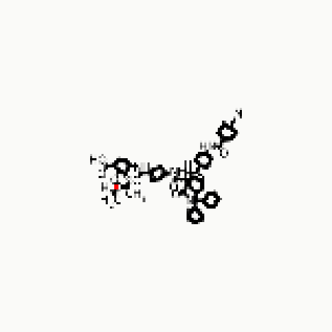 C=CCOc1c(C(=O)O)ccc(NC(=O)c2ccc(NC(=O)[C@H](CC(=O)NC(c3ccccc3)(c3ccccc3)c3ccccc3)NC(=O)c3ccc(NC(=O)c4ccc(C#N)cc4)cc3)cc2)c1OC(C)C